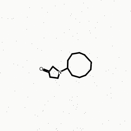 O=C1CCN(C2CCCCCCCCC2)C1